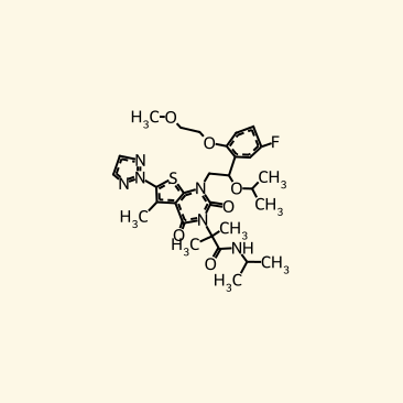 COCCOc1ccc(F)cc1C(Cn1c(=O)n(C(C)(C)C(=O)NC(C)C)c(=O)c2c(C)c(-n3nccn3)sc21)OC(C)C